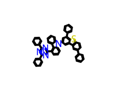 c1ccc(-c2ccc3sc4c(-c5ccccc5)cc(-n5c6ccccc6c6c(-c7nc(-c8ccccc8)nc(-c8ccccc8)n7)cccc65)cc4c3c2)cc1